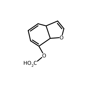 O=C(O)OC1=CC=CC2C=COC12